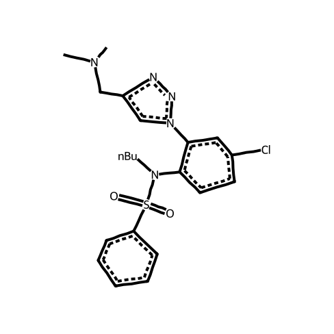 CCCCN(c1ccc(Cl)cc1-n1cc(CN(C)C)nn1)S(=O)(=O)c1ccccc1